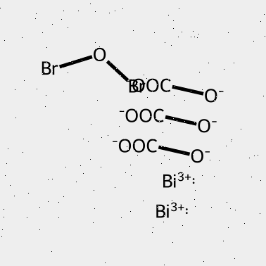 BrOBr.O=C([O-])[O-].O=C([O-])[O-].O=C([O-])[O-].[Bi+3].[Bi+3]